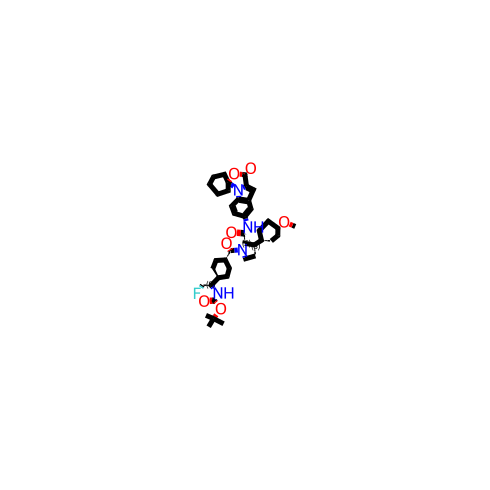 CO[C@H]1CC[C@H]([C@@H]2CCN(C(=O)[C@H]3CC[C@H]([C@@H](CF)NC(=O)OC(C)(C)C)CC3)[C@@H]2C(=O)Nc2ccc3c(c2)cc2n3C3(CCCCC3)OC2=O)CC1